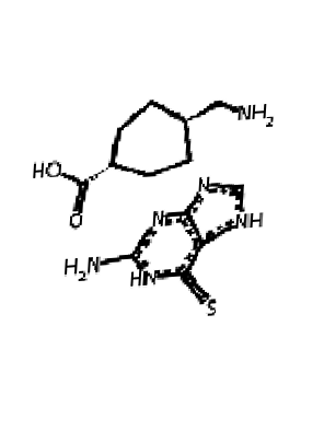 NC[C@H]1CC[C@H](C(=O)O)CC1.Nc1nc2nc[nH]c2c(=S)[nH]1